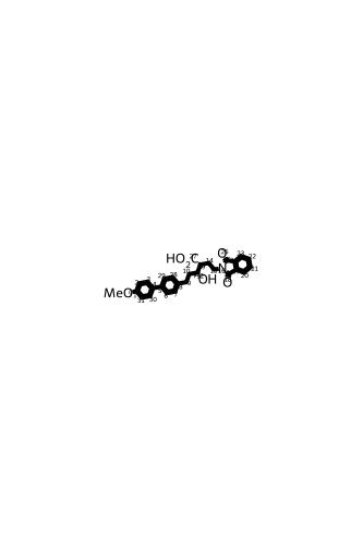 COc1ccc(-c2ccc(CC[C@@H](O)[C@H](CCN3C(=O)c4ccccc4C3=O)C(=O)O)cc2)cc1